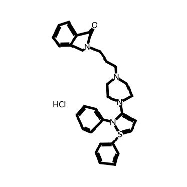 Cl.O=C1c2ccccc2CN1CCCN1CCN(C2=CC=S(c3ccccc3)N2c2ccccc2)CC1